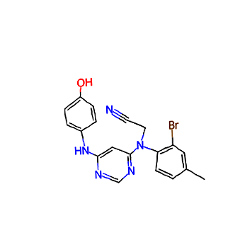 Cc1ccc(N(CC#N)c2cc(Nc3ccc(O)cc3)ncn2)c(Br)c1